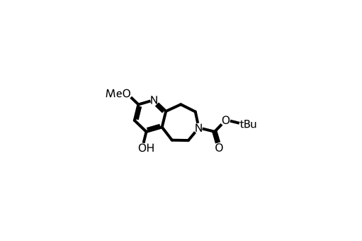 COc1cc(O)c2c(n1)CCN(C(=O)OC(C)(C)C)CC2